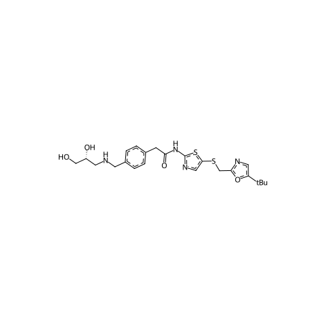 CC(C)(C)c1cnc(CSc2cnc(NC(=O)Cc3ccc(CNC[C@@H](O)CO)cc3)s2)o1